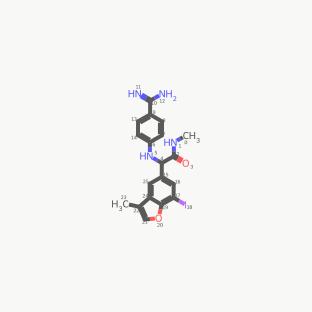 CNC(=O)C(Nc1ccc(C(=N)N)cc1)c1cc(I)c2occ(C)c2c1